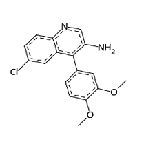 COc1ccc(-c2c(N)cnc3ccc(Cl)cc23)cc1OC